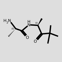 C[C@H](N)C(=O)N[C@@H](C)C(=O)C(C)(C)C